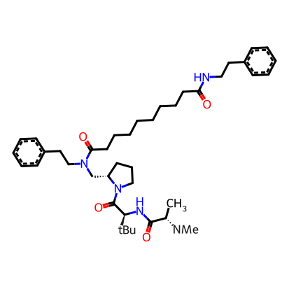 CN[C@@H](C)C(=O)N[C@H](C(=O)N1CCC[C@H]1CN(CCc1ccccc1)C(=O)CCCCCCCCC(=O)NCCc1ccccc1)C(C)(C)C